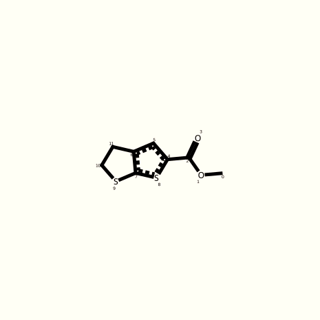 COC(=O)c1cc2c(s1)SCC2